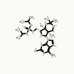 CC(C)OP(=O)(OC[C@H]1O[C@@H](n2cnc3c(N)nc(Cl)nc32)[C@]2(C)COC(C)(C)O[C@H]12)OC(C)C